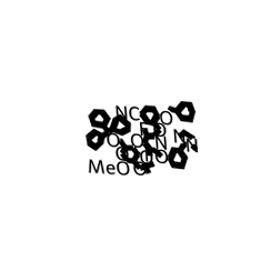 COC1OC(COC(c2ccccc2)(c2ccccc2)c2ccccc2)C(Oc2c(F)c(Oc3cccc(C4=NCCN4C)c3)nc(Oc3cc(C#N)ccc3OCc3ccccc3)c2F)C2OC(C)(C)OC12